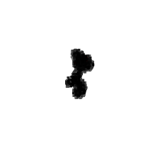 c1ccc(N(c2ccc(-c3ccc4c(c3)-c3ccccc3C43c4ccccc4-n4c5ccccc5c5cccc3c54)cc2)c2ccc3sc4ccccc4c3c2)cc1